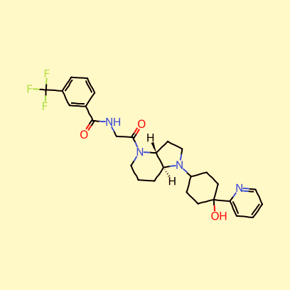 O=C(NCC(=O)N1CCC[C@H]2[C@H]1CCN2C1CCC(O)(c2ccccn2)CC1)c1cccc(C(F)(F)F)c1